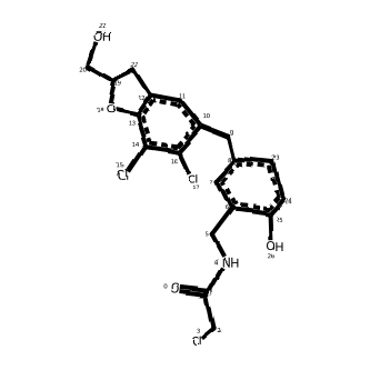 O=C(CCl)NCc1cc(Cc2cc3c(c(Cl)c2Cl)OC(CO)C3)ccc1O